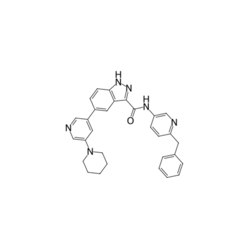 O=C(Nc1ccc(Cc2ccccc2)nc1)c1n[nH]c2ccc(-c3cncc(N4CCCCC4)c3)cc12